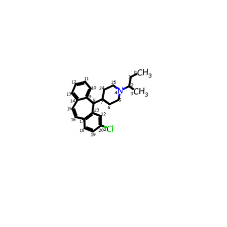 CCC(C)N1CCC(C2c3ccccc3C=Cc3ccc(Cl)cc32)CC1